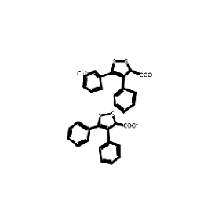 O=C([O-])C1SSC(c2ccccc2)=C1c1ccccc1.O=C([O-])C1SSC(c2ccccc2)=C1c1ccccc1.[Cu+2]